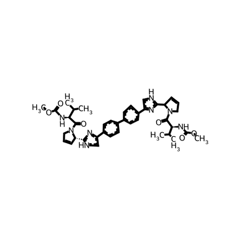 COC(=O)N[C@H](C(=O)N1CC=CC1c1nc(-c2ccc(-c3ccc(-c4c[nH]c([C@@H]5C=CCN5C(=O)[C@@H](NC(=O)OC)C(C)C)n4)cc3)cc2)c[nH]1)C(C)C